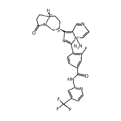 N[N+]12C=CN=CC1=C([C@@H]1CC[C@H]3CCC(=O)N3C1)N=C2c1ccc(C(=O)Nc2cc(C(F)(F)F)ccn2)cc1F